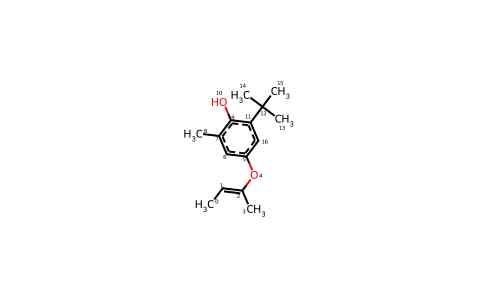 CC=C(C)Oc1cc(C)c(O)c(C(C)(C)C)c1